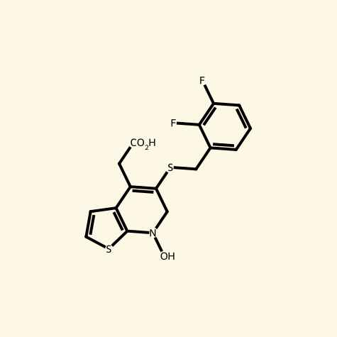 O=C(O)CC1=C(SCc2cccc(F)c2F)CN(O)c2sccc21